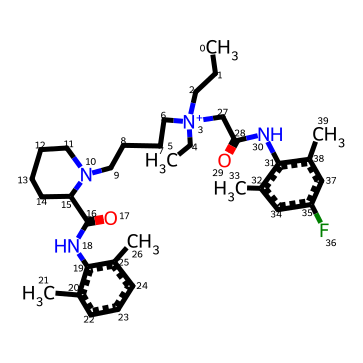 CCC[N+](CC)(CCCCN1CCCCC1C(=O)Nc1c(C)cccc1C)CC(=O)Nc1c(C)cc(F)cc1C